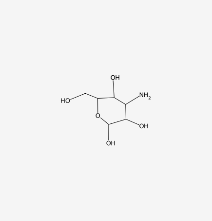 NC1C(O)C(O)OC(CO)C1O